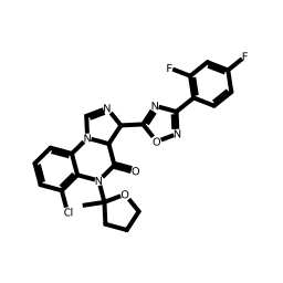 CC1(N2C(=O)C3C(c4nc(-c5ccc(F)cc5F)no4)N=CN3c3cccc(Cl)c32)CCCO1